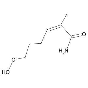 CC(=CCCCOO)C(N)=O